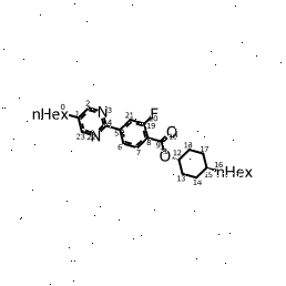 CCCCCCc1cnc(-c2ccc(C(=O)O[C@H]3CC[C@H](CCCCCC)CC3)c(F)c2)nc1